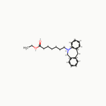 CCOC(=O)CCCCCCN1Cc2ccccc2Cc2ccccc21